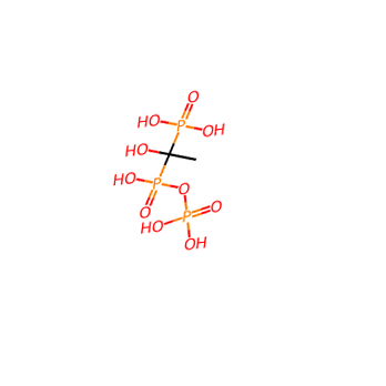 CC(O)(P(=O)(O)O)P(=O)(O)OP(=O)(O)O